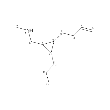 C=CCC[C@H]1C(CNC)[C@H]1CCC